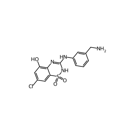 NCc1cccc(NC2=Nc3c(O)cc(Cl)cc3S(=O)(=O)N2)c1